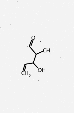 C=CC(O)C(C)[C]=O